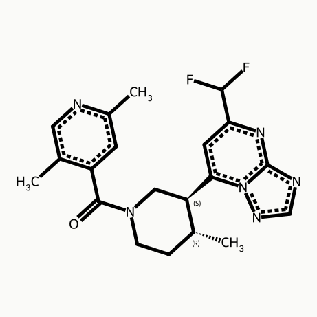 Cc1cc(C(=O)N2CC[C@@H](C)[C@H](c3cc(C(F)F)nc4ncnn34)C2)c(C)cn1